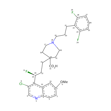 COc1ccc2ncc(Cl)c([C@@H](F)CCC3(C(=O)O)CCN(CCCc4c(F)cccc4F)CC3)c2c1